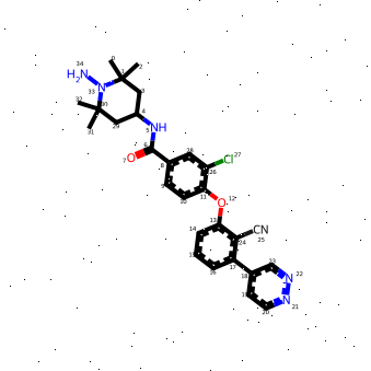 CC1(C)CC(NC(=O)c2ccc(Oc3cccc(-c4ccnnc4)c3C#N)c(Cl)c2)CC(C)(C)N1N